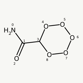 NC(=O)C1OOOOO1